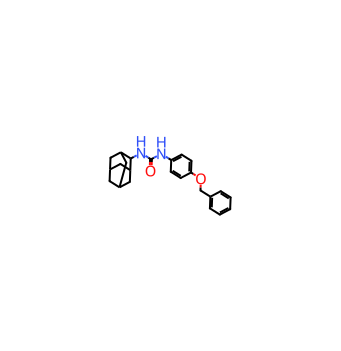 O=C(Nc1ccc(OCc2ccccc2)cc1)NC1C2CC3CC(C2)CC1C3